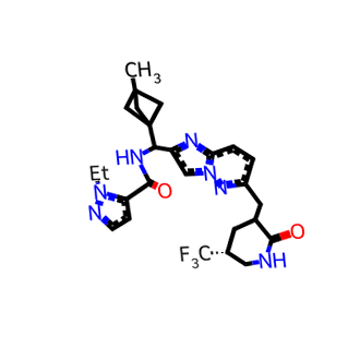 CCn1nccc1C(=O)NC(c1cn2nc(CC3C[C@@H](C(F)(F)F)CNC3=O)ccc2n1)C12CC(C)(C1)C2